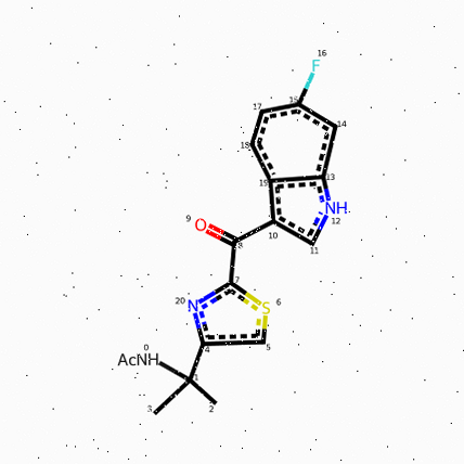 CC(=O)NC(C)(C)c1csc(C(=O)c2c[nH]c3cc(F)ccc23)n1